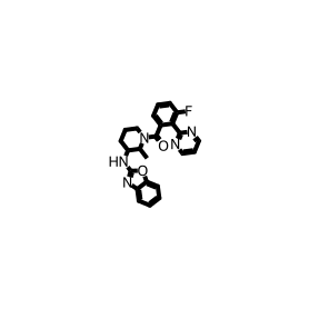 CC1C(Nc2nc3ccccc3o2)CCCN1C(=O)c1cccc(F)c1-c1ncccn1